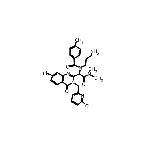 Cc1ccc(C(=O)N(CCCN)C(C(=O)N(C)C)c2nc3cc(Cl)ccc3c(=O)n2Cc2cccc(Cl)n2)cc1